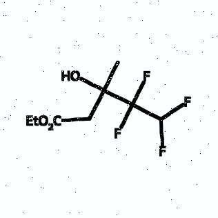 CCOC(=O)CC(C)(O)C(F)(F)C(F)F